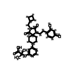 CC(C)(Oc1cc(N2CCC3(CC2)C(=O)N(CC2CCC2)C(=O)N3CCc2ccc(Cl)cc2Cl)ncn1)C(=O)O